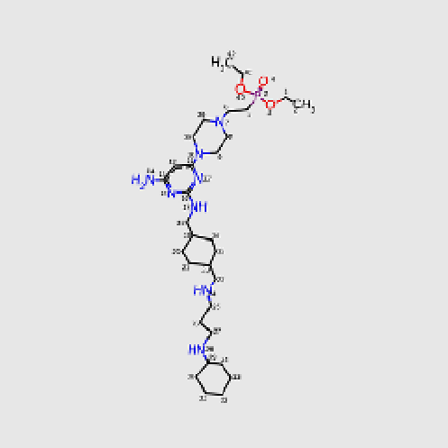 CCOP(=O)(CCN1CCN(c2cc(N)nc(NCC3CCC(CNCCCNC4CCCCC4)CC3)n2)CC1)OCC